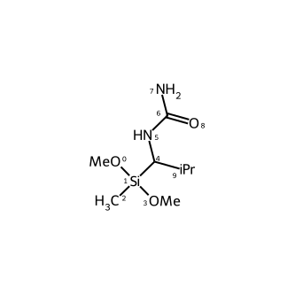 CO[Si](C)(OC)C(NC(N)=O)C(C)C